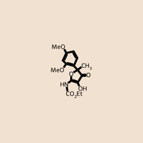 CCOC(=O)NC1=C(O)C(=O)C(C)(c2ccc(OC)cc2OC)O1